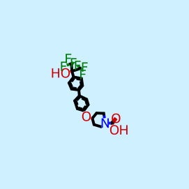 O=C(O)N1CCC(Oc2ccc(-c3ccc(C(O)(C(F)(F)F)C(F)(F)F)cc3)cc2)CC1